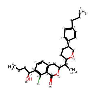 CCCc1ccc(C2CCC(C(C)C3Cc4ccc(C(O)CCC)c(F)c4C(=O)O3)OC2)cc1